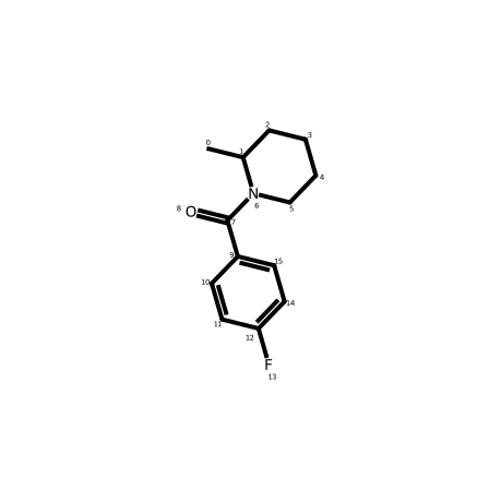 CC1CCCCN1C(=O)c1ccc(F)cc1